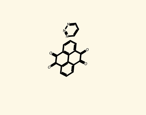 O=c1c(=O)c2cccc3c2-c2c1cccc2c(=O)c3=O.c1cnnnc1